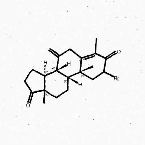 C=C1CC2=C(C)C(=O)C(Br)C[C@]2(C)[C@@H]2CC[C@]3(C)C(=O)CC[C@H]3[C@H]12